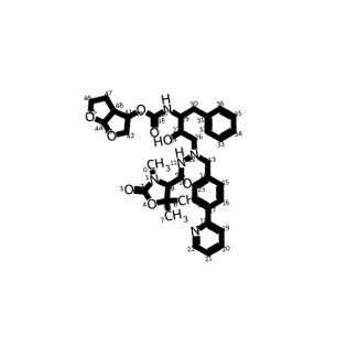 CN1C(=O)OC(C)(C)C1C(=O)NN(Cc1ccc(-c2ccccn2)cc1)CC(O)C(Cc1ccccc1)NC(=O)OC1COC2OCCC12